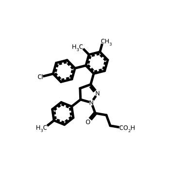 Cc1ccc(C2CC(c3ccc(C)c(C)c3-c3ccc(Cl)cc3)=NN2C(=O)CCC(=O)O)cc1